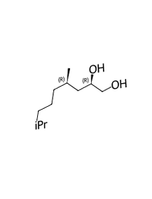 CC(C)CCC[C@@H](C)C[C@@H](O)CO